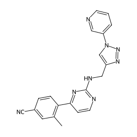 Cc1cc(C#N)ccc1-c1ccnc(NCc2cn(-c3cccnc3)nn2)n1